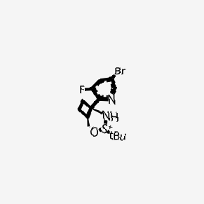 C[C@H]1CC[C@]1(N[S+]([O-])C(C)(C)C)c1ncc(Br)cc1F